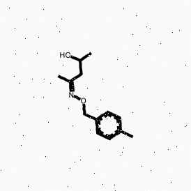 CC(CC(C)O)=NOCc1ccc(C)cc1